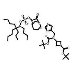 CCCCN(OS(=O)(=O)ON1C(=O)N2CC1CC[C@H]2c1nnc(CN(C(=O)OC(C)(C)C)C2CN(C(=O)OC(C)(C)C)C2)o1)C(CCC)(CCCC)CCCC